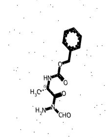 C[C@H](NC(=O)OCc1ccccc1)C(=O)N(N)C=O